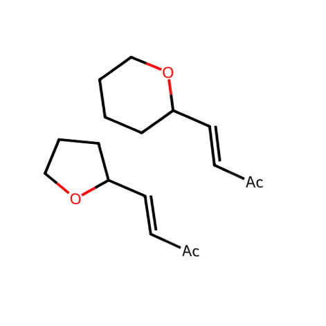 CC(=O)C=CC1CCCCO1.CC(=O)C=CC1CCCO1